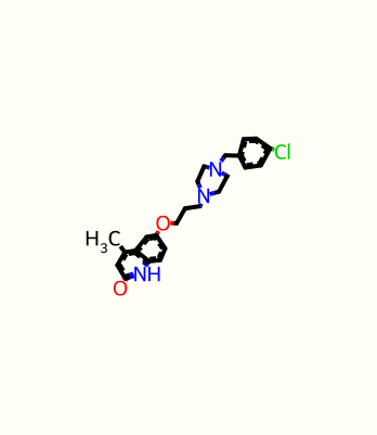 Cc1cc(=O)[nH]c2ccc(OCCCN3CCN(Cc4ccc(Cl)cc4)CC3)cc12